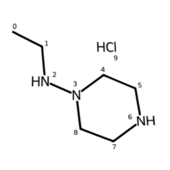 CCNN1CCNCC1.Cl